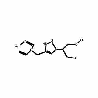 C=CN(/C=N\[N+](=O)[O-])CC1=CN(C(CO)COCC)NN1